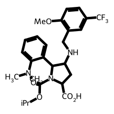 COc1ccc(C(F)(F)F)cc1CNC1CC(C(=O)O)N(C(=O)OC(C)C)C1c1ccccc1N(C)C